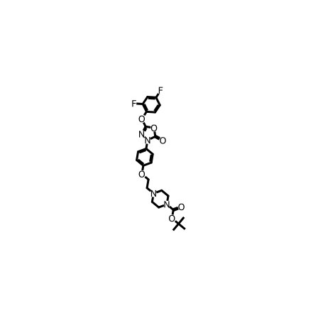 CC(C)(C)OC(=O)N1CCN(CCOc2ccc(-n3nc(Oc4ccc(F)cc4F)oc3=O)cc2)CC1